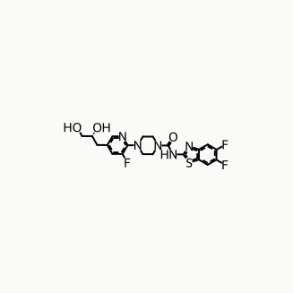 O=C(Nc1nc2cc(F)c(F)cc2s1)N1CCN(c2ncc(C[C@@H](O)CO)cc2F)CC1